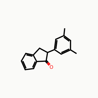 Cc1cc(C)cc(C2Cc3ccccc3C2=O)c1